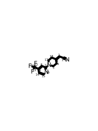 N#CC=C1CCN(c2cc(C(F)(F)F)ccn2)CC1